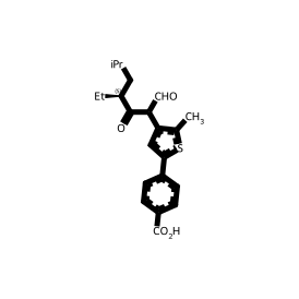 CC[C@@H](CC(C)C)C(=O)C(C=O)c1cc(-c2ccc(C(=O)O)cc2)sc1C